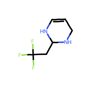 FC(F)(F)CC1NC=CCN1